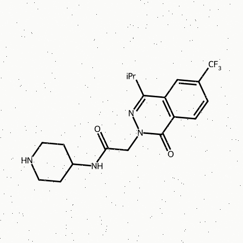 CC(C)c1nn(CC(=O)NC2CCNCC2)c(=O)c2ccc(C(F)(F)F)cc12